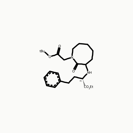 CCOC(=O)[C@H](CCc1ccccc1)NC1CCCCCN(CC(=O)OC(C)(C)C)C1=O